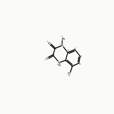 CC(C)n1c(=O)c(=O)[nH]c2c(Cl)cccc21